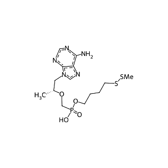 CSSCCCCOP(=O)(O)CO[C@H](C)Cn1cnc2c(N)ncnc21